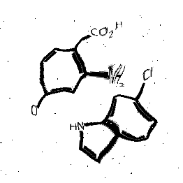 Clc1ccc2cc[nH]c2c1.Nc1cc(Cl)ccc1C(=O)O